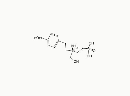 CCCCCCCCc1ccc(CC[C@@](N)(CO)CCP(=O)(O)O)cc1